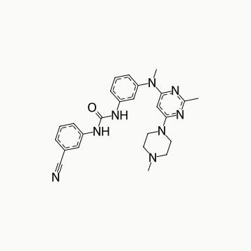 Cc1nc(N2CCN(C)CC2)cc(N(C)c2cccc(NC(=O)Nc3cccc(C#N)c3)c2)n1